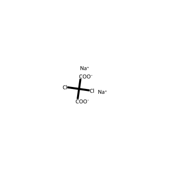 O=C([O-])C(Cl)(Cl)C(=O)[O-].[Na+].[Na+]